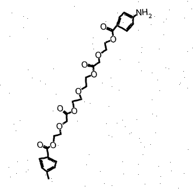 Cc1ccc(C(=O)OCCOCC(=O)OCCOCCOC(=O)COCCOC(=O)c2ccc(N)cc2)cc1